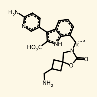 C[C@@H](c1cccc2c(-c3ccc(N)nc3)c(C(=O)O)[nH]c12)N1CC2(CC(CN)C2)OC1=O